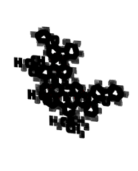 CC(C)c1cc2c3c(c1)N(c1c(-c4ccccc4)cc(C(C)(C)C)cc1-c1ccccc1)c1cc(-n4c5ccccc5c5c6oc7ccccc7c6ccc54)ccc1B3c1ccc(-n3c4ccccc4c4c5oc6ccccc6c5ccc43)cc1N2c1c(-c2ccccc2)cc(C(C)(C)C)cc1-c1ccccc1